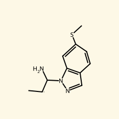 C[CH]C(N)n1ncc2ccc(SC)cc21